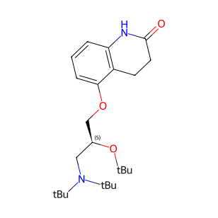 CC(C)(C)O[C@H](COc1cccc2c1CCC(=O)N2)CN(C(C)(C)C)C(C)(C)C